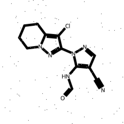 N#Cc1cnn(-c2nn3c(c2Cl)CCCC3)c1NC=O